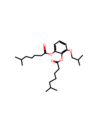 CC(C)CCCCC(=O)Oc1cccc(OCC(C)C)c1OC(=O)CCCCC(C)C